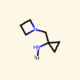 [2H]NC1(CN2CCC2)CC1